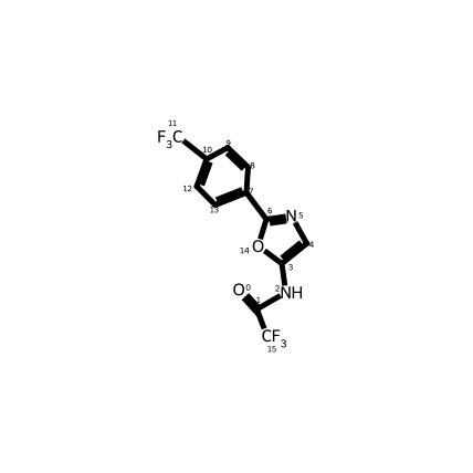 O=C(Nc1cnc(-c2ccc(C(F)(F)F)cc2)o1)C(F)(F)F